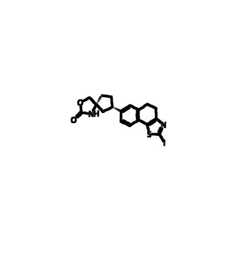 O=C1N[C@@]2(CC[C@H](c3ccc4c(c3)CCc3nc(I)sc3-4)C2)CO1